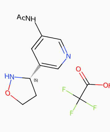 CC(=O)Nc1cncc([C@@H]2CCON2)c1.O=C(O)C(F)(F)F